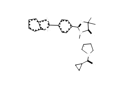 CC1(C)N=C(c2ccc(-c3nc4ccccc4[nH]3)cc2)N(C[C@@H]2CCN(C(=O)C3CC3)C2)C1=O